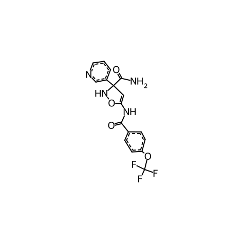 NC(=O)C1(c2cccnc2)C=C(NC(=O)c2ccc(OC(F)(F)F)cc2)ON1